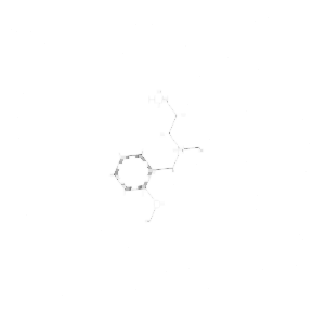 COc1ccccc1CN(C)CCN